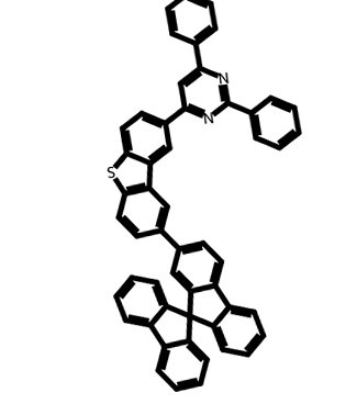 c1ccc(-c2cc(-c3ccc4sc5ccc(-c6ccc7c(c6)C6(c8ccccc8-c8ccccc86)c6ccccc6-7)cc5c4c3)nc(-c3ccccc3)n2)cc1